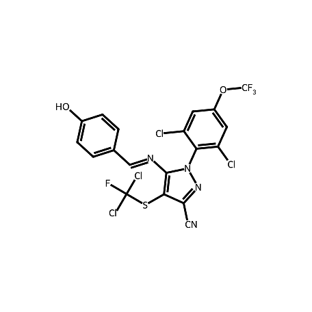 N#Cc1nn(-c2c(Cl)cc(OC(F)(F)F)cc2Cl)c(N=Cc2ccc(O)cc2)c1SC(F)(Cl)Cl